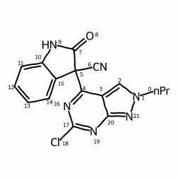 CCCn1cc2c(C3(C#N)C(=O)Nc4ccccc43)nc(Cl)nc2n1